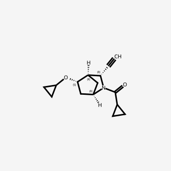 C#C[C@H]1[C@H]2C[C@H](C[C@@H]2OC2CC2)N1C(=O)C1CC1